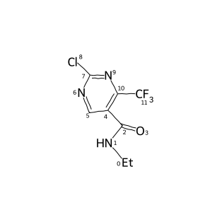 CCNC(=O)c1cnc(Cl)nc1C(F)(F)F